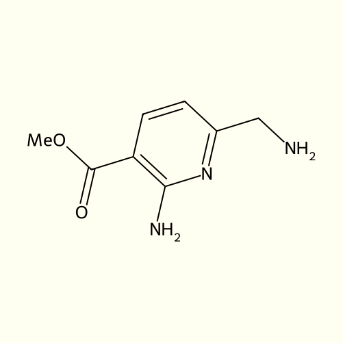 COC(=O)c1ccc(CN)nc1N